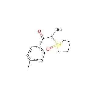 Cc1ccc(C(=O)C(C(C)(C)C)[SH]2(=O)CCCC2)cc1